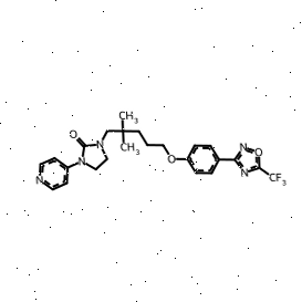 CC(C)(CCCOc1ccc(-c2noc(C(F)(F)F)n2)cc1)CN1CCN(c2ccncc2)C1=O